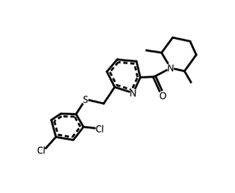 CC1CCCC(C)N1C(=O)c1cccc(CSc2ccc(Cl)cc2Cl)n1